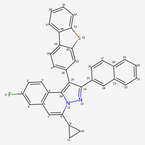 Fc1ccc2c(c1)cc(C1CC1)n1nc(-c3ccc4ccccc4c3)c(-c3ccc4c(c3)sc3ccccc34)c21